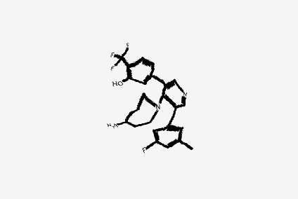 Cc1cc(F)cc(-c2cncc(-c3ccc(C(F)(F)F)c(O)c3)c2N2CCC(N)CC2)c1